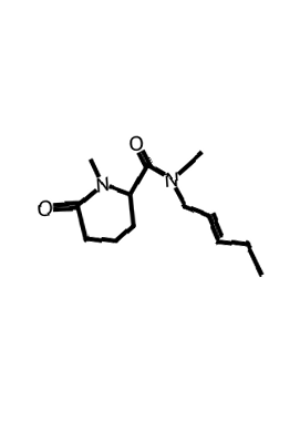 CC/C=C/CN(C)C(=O)C1CCCC(=O)N1C